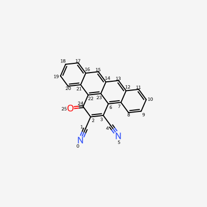 N#CC1=C(C#N)c2c3ccccc3cc3cc4ccccc4c(c23)C1=O